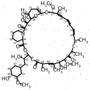 COC1C(=O)C(C)C[C@H](C)/C=C/C=C/C=C(\C)[C@@H](OC)C[C@@H]2CCC(C)C(O)(O2)C(=O)C(=O)N2CCCCC2C(=O)OC([C@H](C)CC2CC[C@@H](O)C(OC)C2)CC(=O)C(C)/C=C(\C)C1O